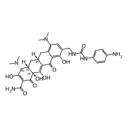 CN(C)c1cc(CNC(=O)Nc2ccc(N)cc2)c(O)c2c1C[C@H]1C[C@H]3[C@@H](N(C)C)C(O)=C(C(N)=O)C(=O)[C@@]3(O)C(O)=C1C2=O